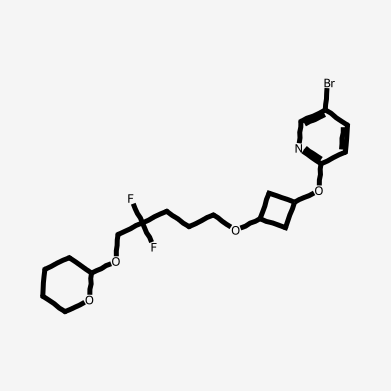 FC(F)(CCCOC1CC(Oc2ccc(Br)cn2)C1)COC1CCCCO1